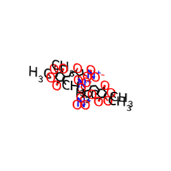 COC1=C(OC)C(=O)C(CCC2OCC(O[N+](=O)[O-])C2O[N+](=O)OC2C(CCC3=C(C)C(=O)C(OC)=C(OC)C3=O)OCC2O[N+](=O)[O-])=C(C)C1=O